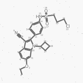 CCOc1ccc2c(C#N)c(-c3ccc(NS(=O)(=O)CCCCl)cc3)n(C3CCC3)c2c1